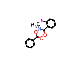 CN(OC(=O)c1ccccc1)C(=O)c1ccccc1I